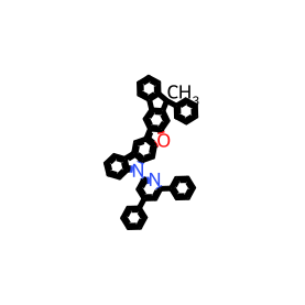 CC1(c2ccccc2)c2ccccc2-c2cc3c(cc21)oc1cc2c(cc13)c1ccccc1n2-c1cc(-c2ccccc2)cc(-c2ccccc2)n1